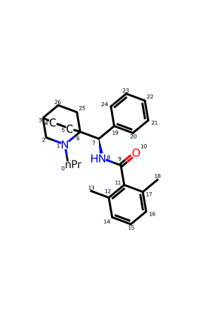 CCCN1CC2CCC1([C@H](NC(=O)c1c(C)cccc1C)c1ccccc1)CC2